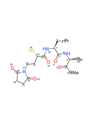 CNC(=O)[C@@H](NC(=O)[C@H](CC(C)C)NC(=O)C(S)CCN1C(=O)CCC1=O)C(C)(C)C